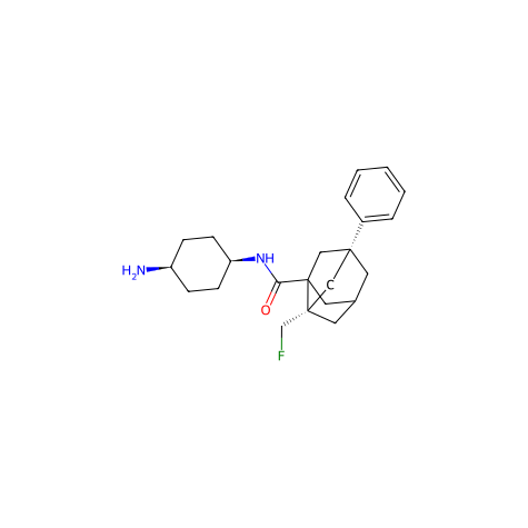 N[C@H]1CC[C@@H](NC(=O)C23CC4C[C@](c5ccccc5)(C2)C[C@@]3(CF)C4)CC1